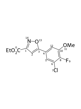 CCOC(=O)c1cc(-c2cc(Cl)c(F)c(OC)c2)on1